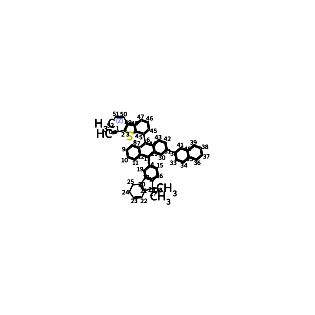 C#Cc1sc2c(-c3c4ccccc4c(-c4ccc5c(c4)C4=C(C=CCC4)C5(C)C)c4cc(-c5ccc6ccccc6c5)ccc34)cccc2c1/C=C\C